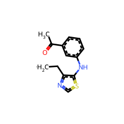 [CH2]Cc1ncsc1Nc1cccc(C(C)=O)c1